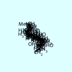 C=CCCC(=O)N[C@@H](C)C(=O)N[C@@H](N[C@@H](C=O)C(C)C)C(=O)N(CC=C)[C@@H](NCC=O)C(=O)N[C@@H](C)C(=O)N[C@@H](C)C(=O)N[C@@H](N[C@@H](C=O)CC(C)C)C(=O)N[C@@H](N[C@@H](C)C=O)C(=O)N[C@@H](N[C@@H](C=O)[C@H](C)CC)C(=O)N[C@H](CN[C@@H](NCC=O)C(=O)N[C@@H](C)C(=O)N[C@@H](C)C(=O)N[C@@H](N[C@@H](C=O)[C@H](C)CC)C(=O)N[C@@H](C)C(=O)N[C@@H](C)C(=O)NC)N[C@@H](C=O)[C@H](C)CC